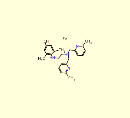 Cc1cc(C)c(NCCN(Cc2cccc(C)n2)Cc2cccc(C)n2)c(C)c1.[Fe]